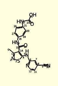 Cc1nsc(Nc2cc(C#N)ccn2)c1C(=O)Nc1ccc(NC(=O)O)cc1